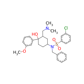 COc1cccc(C2(O)CCC(N(Cc3ccccc3)S(=O)(=O)c3cccc(Cl)c3)CC2CN(C)C)c1